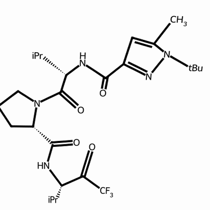 Cc1cc(C(=O)N[C@H](C(=O)N2CCC[C@H]2C(=O)N[C@H](C(=O)C(F)(F)F)C(C)C)C(C)C)nn1C(C)(C)C